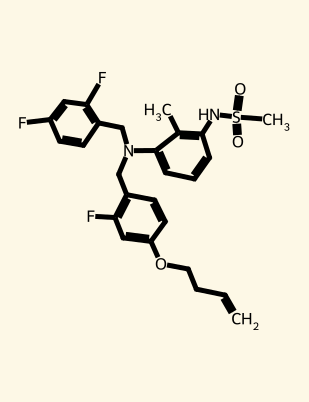 C=CCCOc1ccc(CN(Cc2ccc(F)cc2F)c2cccc(NS(C)(=O)=O)c2C)c(F)c1